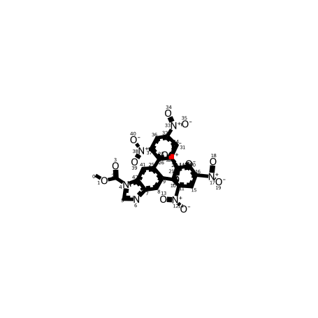 COC(=O)n1cnc2cc(-c3c([N+](=O)[O-])cc([N+](=O)[O-])cc3[N+](=O)[O-])c(-c3c([N+](=O)[O-])cc([N+](=O)[O-])cc3[N+](=O)[O-])cc21